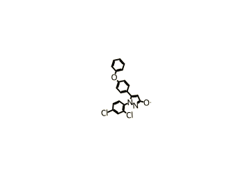 [O]c1cc(-c2ccc(Oc3ccccc3)cc2)n(-c2ccc(Cl)cc2Cl)n1